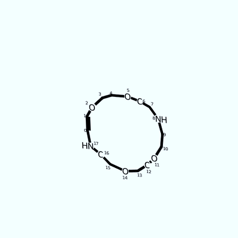 C1=C\OCCOCCNCCOCCOCCN/1